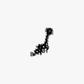 COc1cc2c(NC(C)c3cccc(Br)c3)nc(C)nc2cc1OCCCCCCCN1C(C)(C)CCCC1(C)C